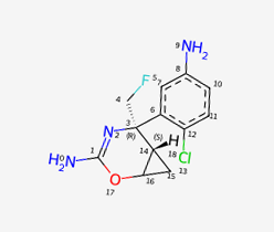 NC1=N[C@@](CF)(c2cc(N)ccc2Cl)[C@@H]2CC2O1